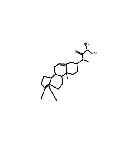 CCCCC(OC(C)=O)C(=O)N(C)C1CCC2(C)C(=CCC3C2CCC24CN(C)C(C)C2CCC34)C1